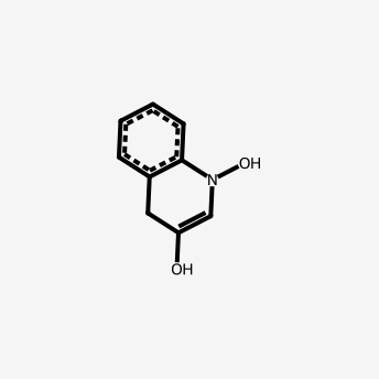 OC1=CN(O)c2ccccc2C1